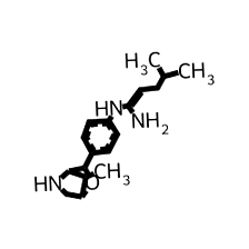 CC(C)C/C=C(\N)Nc1ccc(C2OC3CNC2C3C)cc1